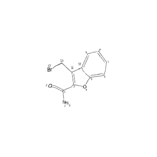 NC(=O)c1oc2ccccc2c1CBr